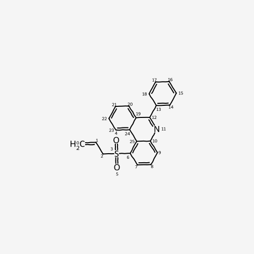 C=CCS(=O)(=O)c1cccc2nc(-c3ccccc3)c3ccccc3c12